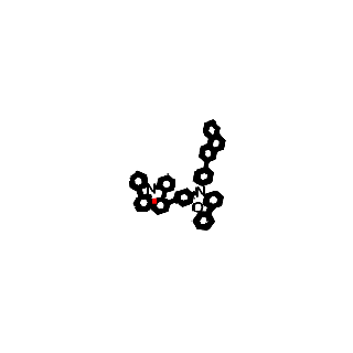 c1ccc(-c2ccccc2-n2c3ccccc3c3ccccc32)c(-c2ccc(N(c3ccc(-c4ccc5c(ccc6ccccc65)c4)cc3)c3cccc4c3oc3ccccc34)cc2)c1